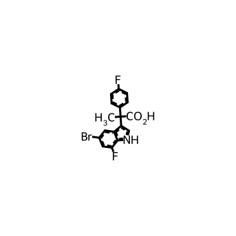 CC(C(=O)O)(c1ccc(F)cc1)c1c[nH]c2c(F)cc(Br)cc12